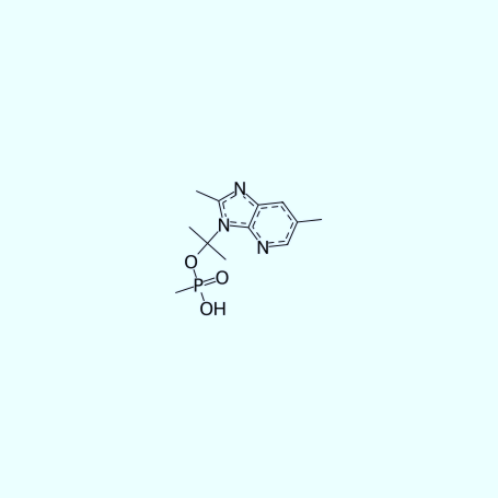 Cc1cnc2c(c1)nc(C)n2C(C)(C)OP(C)(=O)O